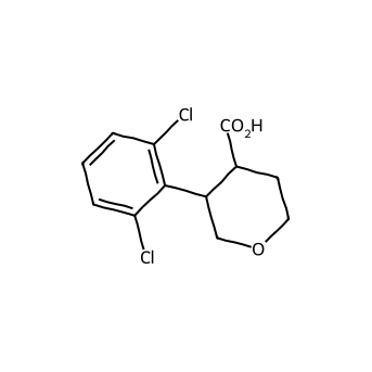 O=C(O)C1CCOCC1c1c(Cl)cccc1Cl